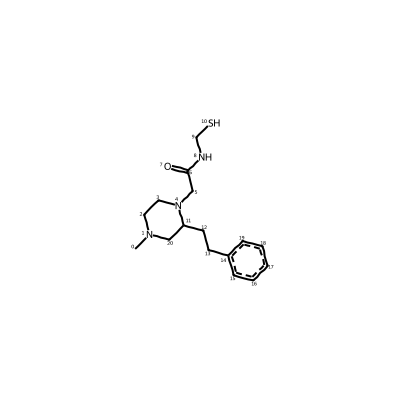 CN1CCN(CC(=O)NCS)C(CCc2ccccc2)C1